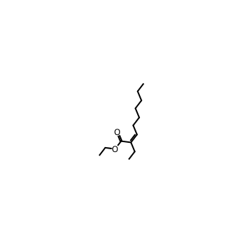 CCCCCC/C=C(/CC)C(=O)OCC